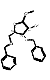 COC1O[C@H](COCc2ccccc2)[C@@H](OCc2ccccc2)[C@@H]1O